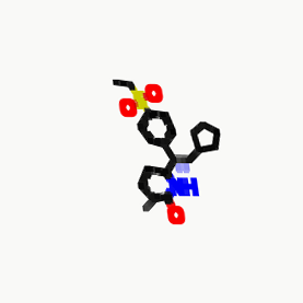 CCS(=O)(=O)c1ccc(/C(=C\C2CCCC2)c2ccc(C)c(=O)[nH]2)cc1